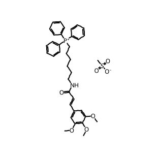 COc1cc(/C=C/C(=O)NCCCCCC[P+](c2ccccc2)(c2ccccc2)c2ccccc2)cc(OC)c1OC.CS(=O)(=O)[O-]